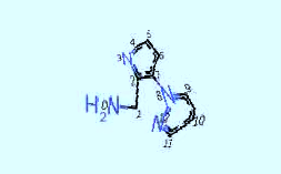 NCc1ncccc1-n1cccn1